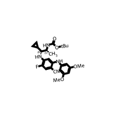 COc1cc(Nc2cc(N[C@H](C3CC3)[C@H](C)NC(=O)OC(C)(C)C)c(F)cc2C#N)cc(OC)c1